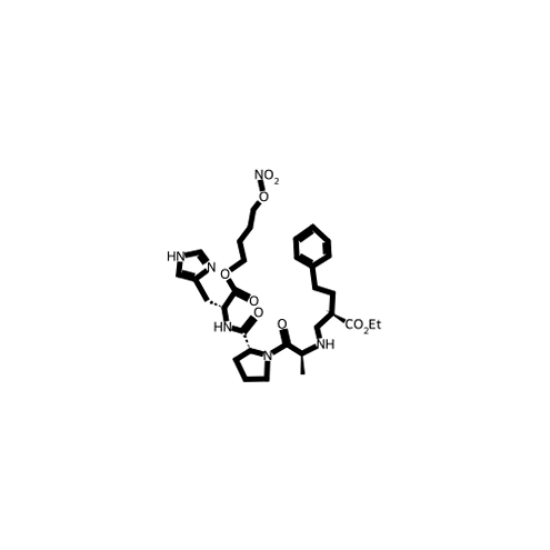 CCOC(=O)[C@H](CCc1ccccc1)CN[C@@H](C)C(=O)N1CCC[C@@H]1C(=O)N[C@H](Cc1c[nH]cn1)C(=O)OCCCCO[N+](=O)[O-]